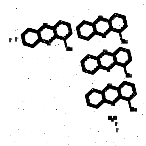 CCC(C)c1cccc2[s+]c3ccccc3nc12.CCC(C)c1cccc2[s+]c3ccccc3nc12.CCC(C)c1cccc2[s+]c3ccccc3nc12.CCC(C)c1cccc2[s+]c3ccccc3nc12.O.[I-].[I-].[I-].[I-]